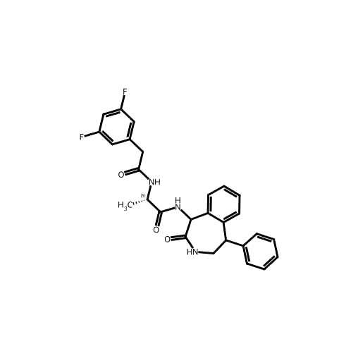 C[C@H](NC(=O)Cc1cc(F)cc(F)c1)C(=O)NC1C(=O)NCC(c2ccccc2)c2ccccc21